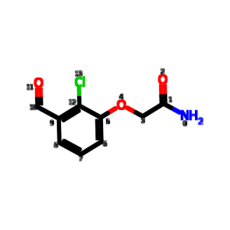 NC(=O)COc1cccc(C=O)c1Cl